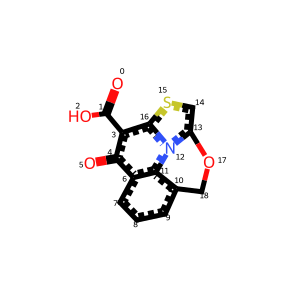 O=C(O)c1c(=O)c2cccc3c2n2c(csc12)OC3